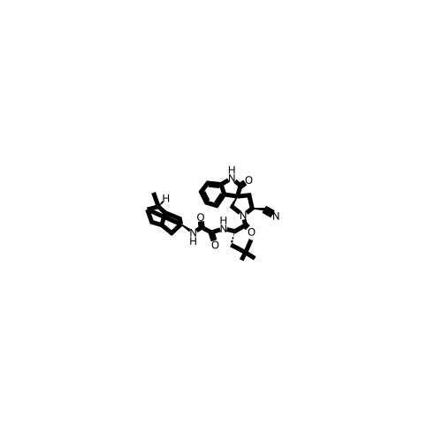 C[C@H]1C2C[C@]3(NC(=O)C(=O)N[C@@H](CC(C)(C)C)C(=O)N4C[C@]5(C[C@H]4C#N)C(=O)Nc4ccccc45)CC2CC13